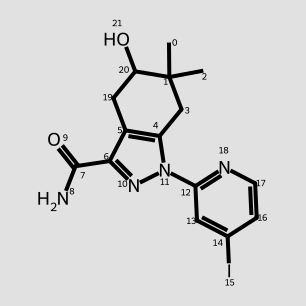 CC1(C)Cc2c(c(C(N)=O)nn2-c2cc(I)ccn2)CC1O